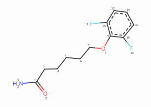 NC(=O)CCCCCOc1c(F)cccc1F